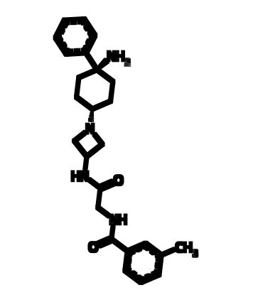 Cc1cccc(C(=O)NCC(=O)NC2CN([C@H]3CC[C@@](N)(c4ccccc4)CC3)C2)c1